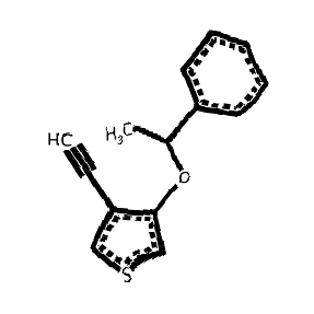 C#Cc1cscc1OC(C)c1ccccc1